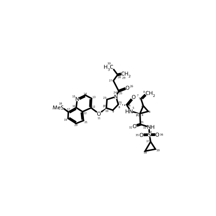 C=CC1C[C@]1(NC(=O)[C@@H]1C[C@@H](Oc2ccnc3c(SC)cccc23)CN1C(=O)CC(=C)C)C(=O)NS(=O)(=O)C1CC1